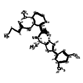 CCCC(=O)Oc1c(OC)ccnc1C(=O)N[C@@H](C)c1nnc(-c2cc(C)cc(C)c2)s1